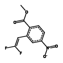 COC(=O)c1ccc([N+](=O)[O-])cc1C=C(F)F